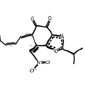 C\C=C/C=C1/C(=O)C(=O)c2nc(C(C)C)oc2/C1=C\[N+](=O)[O-]